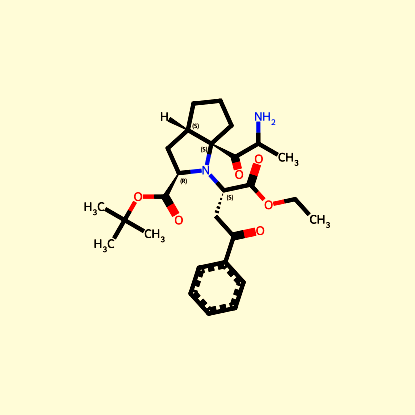 CCOC(=O)[C@H](CC(=O)c1ccccc1)N1[C@@H](C(=O)OC(C)(C)C)C[C@@H]2CCC[C@@]21C(=O)C(C)N